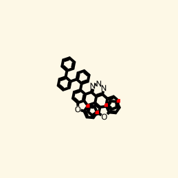 c1ccc(-c2ccccc2-c2ccccc2-c2ccc3oc4ccccc4c3c2-c2nnnc(-c3ccccc3)c2-c2cccc3oc4ccccc4c23)cc1